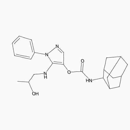 CC(O)CNc1c(OC(=O)NC2C3CC4CC(C3)CC2C4)cnn1-c1ccccc1